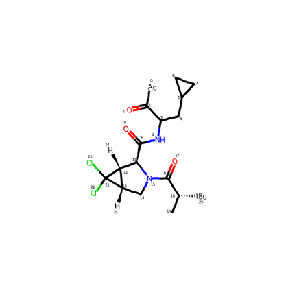 CC(=O)C(=O)C(CC1CC1)NC(=O)[C@@H]1[C@@H]2[C@H](CN1C(=O)[C@@H](C)C(C)(C)C)C2(Cl)Cl